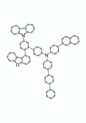 c1ccc(-c2ccc(-c3ccc(N(c4ccc(-c5ccc6ccccc6c5)cc4)c4ccc(-c5cc(-n6c7ccccc7c7ccccc76)ccc5-c5cccc6oc7ccccc7c56)cc4)cc3)cc2)cc1